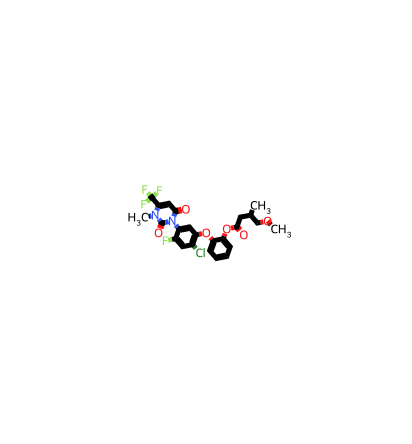 COCC(C)CC(=O)Oc1ccccc1Oc1cc(-n2c(=O)cc(C(F)(F)F)n(C)c2=O)c(F)cc1Cl